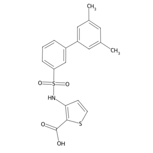 Cc1cc(C)cc(-c2cccc(S(=O)(=O)Nc3ccsc3C(=O)O)c2)c1